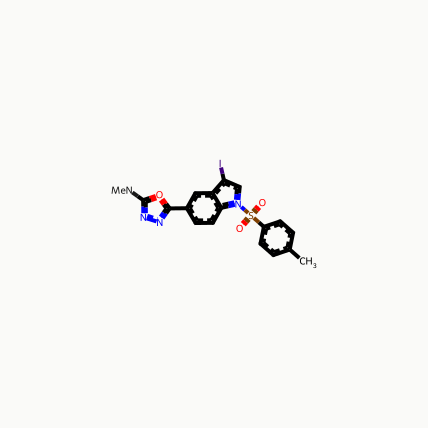 CNc1nnc(-c2ccc3c(c2)c(I)cn3S(=O)(=O)c2ccc(C)cc2)o1